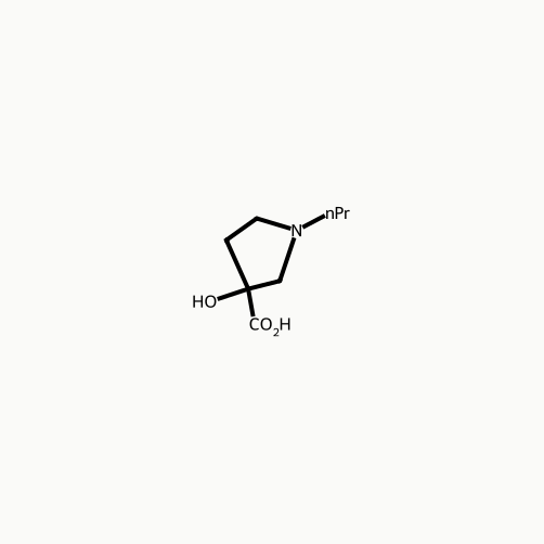 CCCN1CCC(O)(C(=O)O)C1